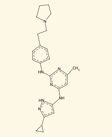 Cc1cc(Nc2cc(C3CC3)n[nH]2)nc(Nc2ccc(CCN3CCCC3)cc2)n1